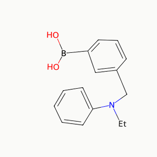 CCN(Cc1cccc(B(O)O)c1)c1ccccc1